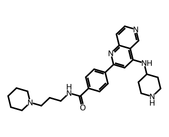 O=C(NCCCN1CCCCC1)c1ccc(-c2cc(NC3CCNCC3)c3cnccc3n2)cc1